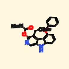 CNC(=O)Oc1ncc2[nH]c3cccc(Oc4ccccc4)c3c2c1COC